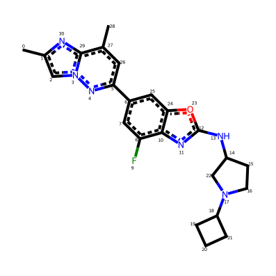 Cc1cn2nc(-c3cc(F)c4nc(NC5CCN(C6CCC6)C5)oc4c3)cc(C)c2n1